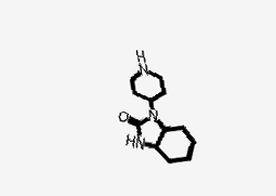 O=C1NC2CCCCC2N1C1CCNCC1